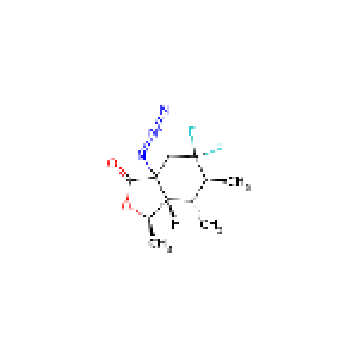 C[C@@H]1[C@@H]2[C@@H](C)OC(=O)C2(N=[N+]=[N-])CC(F)(F)[C@H]1C